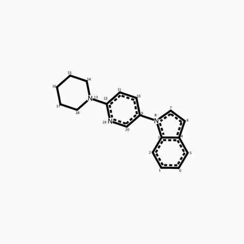 c1ccc2c(c1)ccn2-c1ccc(N2CCCCC2)nc1